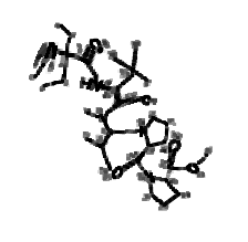 CCC(CC)(NC)C(=O)N[C@H](C(=O)N(C)C(C(C)C)N1CCC[C@H]1C(=O)N1CCC[C@H]1C(=O)OC)C(C)(C)C